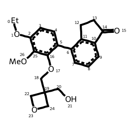 CCOc1ccc(-c2cccc3c2CCC3=O)c(OCC2(CO)COC2)c1OC